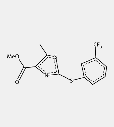 COC(=O)c1nc(Sc2cccc(C(F)(F)F)c2)sc1C